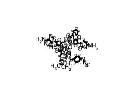 CC(C)(C)SSCC(NC(=O)OCc1ccc(N=[N+]=[N-])cc1)C(=O)O[C@H]1[C@@H](O)[C@H](n2cnc3c(N)ncnc32)O[C@H]1COP(=O)(O)O[C@H]1[C@@H](OC2CCCO2)[C@H](n2ccc(N)nc2=O)O[C@@H]1COP(=O)(O)O